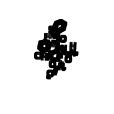 CNC(=O)c1nc(NC(=O)c2nsc3ccccc23)c2n1[C@H](CN(C)CCOC)C(=O)N[C@H]2c1cc(F)ccc1Cl